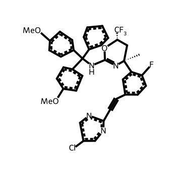 COc1ccc(C(NC2=N[C@](C)(c3cc(C#Cc4ncc(Cl)cn4)ccc3F)C[C@@H](C(F)(F)F)O2)(c2ccccc2)c2ccc(OC)cc2)cc1